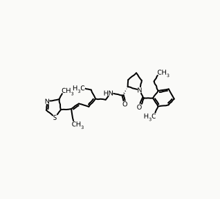 CC/C(=C\C=C(/C)C1SC=NC1C)CNC(=O)[C@@H]1CCCN1C(=O)c1c(C)cccc1CC